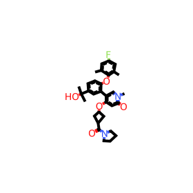 Cc1cc(F)cc(C)c1Oc1ccc(C(C)(C)O)cc1-c1cn(C)c(=O)cc1OC1CC(C(=O)N2CCCC2)C1